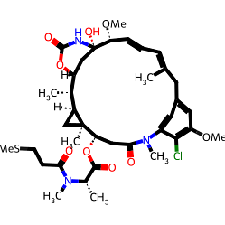 COc1cc2cc(c1Cl)N(C)C(=O)C[C@H](OC(=O)[C@H](C)N(C)C(=O)CCSC)[C@@]1(C)C[C@H]1[C@H](C)[C@@H]1C[C@@](O)(NC(=O)O1)[C@H](OC)/C=C/C=C(\C)C2